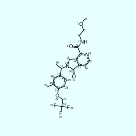 COCCNC(=O)c1nccc2c1CN(C(C)c1cc(C)c(OCC(F)(F)F)cn1)C2=O